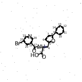 O=C(O)/C(=C/c1ccc(-c2ccccc2)o1)NC(=O)c1cncc(Br)c1